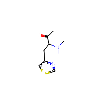 CNC(Cc1cscn1)C(C)=O